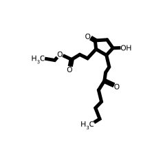 CCCCCC(=O)CCC1C(O)CC(=O)C1CCC(=O)OCC